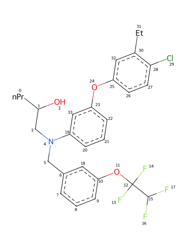 CCCC(O)CN(Cc1cccc(OC(F)(F)C(F)F)c1)c1cccc(Oc2ccc(Cl)c(CC)c2)c1